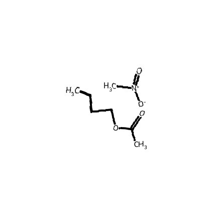 CCCCOC(C)=O.C[N+](=O)[O-]